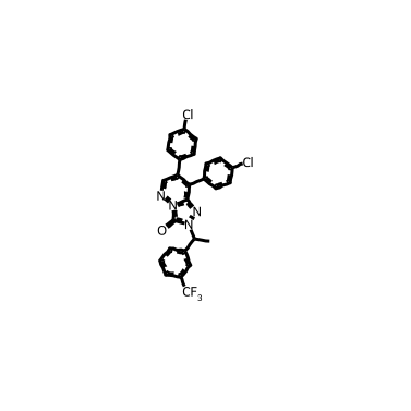 CC(c1cccc(C(F)(F)F)c1)n1nc2c(-c3ccc(Cl)cc3)c(-c3ccc(Cl)cc3)cnn2c1=O